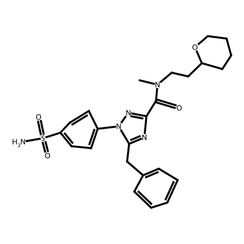 CN(CCC1CCCCO1)C(=O)c1nc(Cc2ccccc2)n(-c2ccc(S(N)(=O)=O)cc2)n1